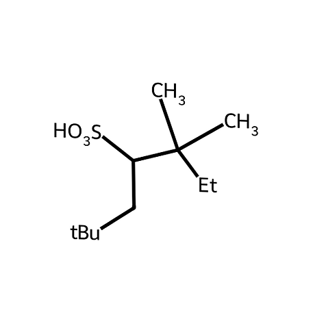 CCC(C)(C)C(CC(C)(C)C)S(=O)(=O)O